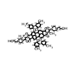 Cc1ccc(Oc2cc3c4c(cc(Oc5ccc(C)cc5)c5c6c(Oc7ccc(C)cc7)cc7c8c(cc(Oc9ccc(C)cc9)c(c2c45)c86)C(=O)N(C(C)C(=O)N2CCN(CCO)CC2)C7=O)C(=O)N(C(C)C(=O)N2CCN(CCO)CC2)C3=O)cc1